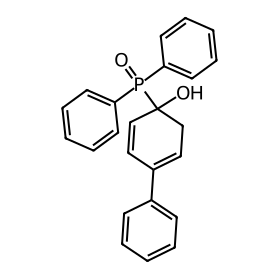 O=P(c1ccccc1)(c1ccccc1)C1(O)C=CC(c2ccccc2)=CC1